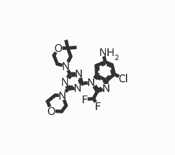 CC1(C)CN(c2nc(N3CCOCC3)nc(-n3c(C(F)F)nc4c(Cl)cc(N)cc43)n2)CCO1